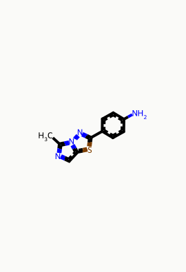 Cc1ncc2sc(-c3ccc(N)cc3)nn12